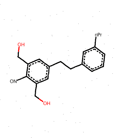 CCCc1cccc(CCc2cc(CO)c(N=O)c(CO)c2)c1